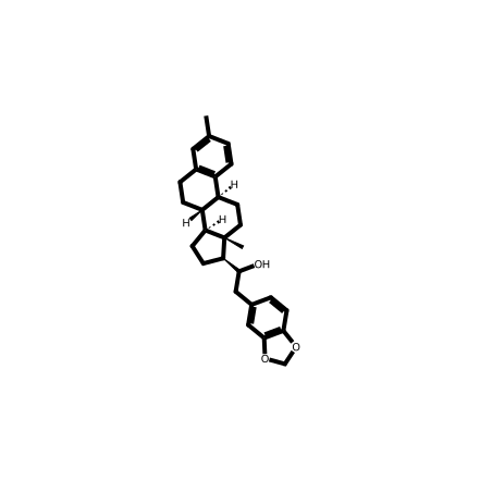 Cc1ccc2c(c1)CC[C@@H]1[C@@H]2CC[C@]2(C)[C@@H](C(O)Cc3ccc4c(c3)OCO4)CC[C@@H]12